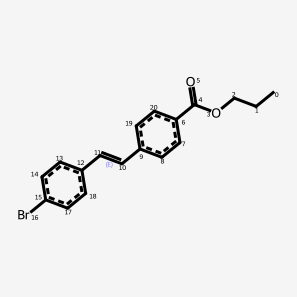 CCCOC(=O)c1ccc(/C=C/c2ccc(Br)cc2)cc1